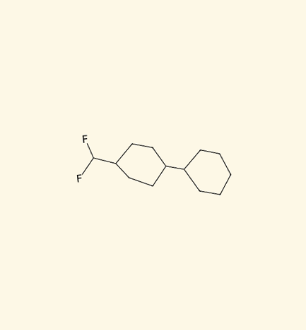 FC(F)C1CCC(C2CCCCC2)CC1